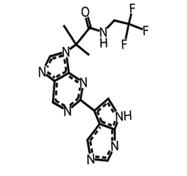 CC(C)(C(=O)NCC(F)(F)F)n1cnc2cnc(-c3c[nH]c4ncncc34)nc21